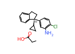 CCC(=O)O.Nc1cc([C@@]2(C3CC3)CCc3ccccc32)ccc1Cl